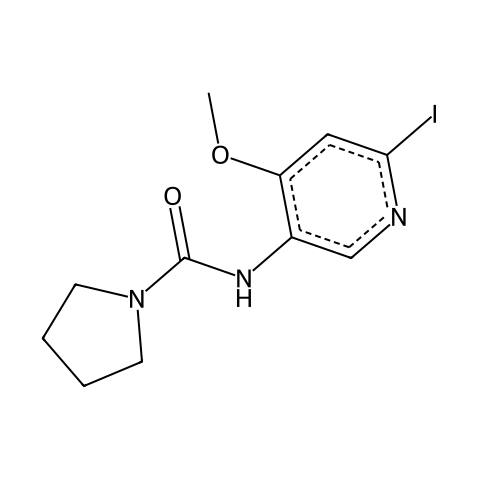 COc1cc(I)ncc1NC(=O)N1CCCC1